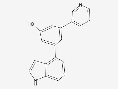 Oc1cc(-c2cccnc2)cc(-c2cccc3[nH]ccc23)c1